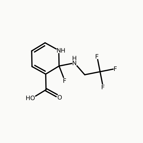 O=C(O)C1=CC=CNC1(F)NCC(F)(F)F